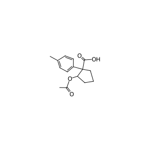 CC(=O)OC1CCCC1(C(=O)O)c1ccc(C)cc1